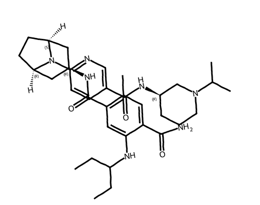 CCC(CC)Nc1cc(C(=O)N[C@H]2C[C@H]3CC[C@@H](C2)N3c2ccc(C(=O)N[C@@H]3CCCN(C(C)C)C3)cn2)c(C)cc1C(N)=O